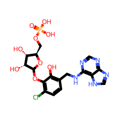 O=P(O)(O)OC[C@H]1OC(Oc2c(Cl)ccc(CNc3ncnc4nc[nH]c34)c2O)[C@H](O)[C@@H]1O